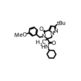 COc1cccc(CN2C(=O)c3cc(C(C)(C)C)nn3CC2(C)C(=O)NC2CCCCC2)c1